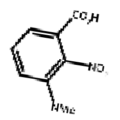 CNc1cccc(C(=O)O)c1[N+](=O)[O-]